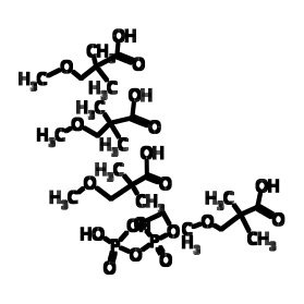 COCC(C)(C)C(=O)O.COCC(C)(C)C(=O)O.COCC(C)(C)C(=O)O.COCC(C)(C)C(=O)O.O=P(O)(O)OP1(=O)OCO1